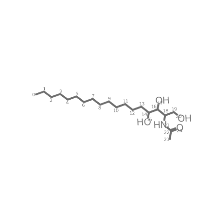 CCCCCCCCCCCCCCC(O)C(O)C(CO)NC(C)=O